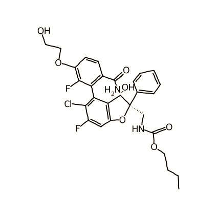 CCCCOC(=O)NC[C@]1(c2ccccc2)Oc2cc(F)c(Cl)c(-c3c(C(N)=O)ccc(OCCO)c3F)c2[C@@H]1O